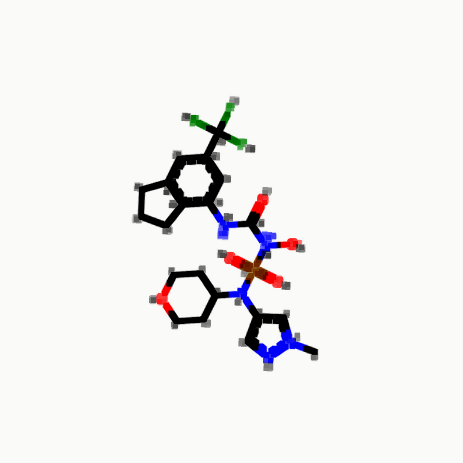 Cn1cc(N(C2CCOCC2)S(=O)(=O)[NH+]([O-])C(=O)Nc2cc(C(F)(F)F)cc3c2CCC3)cn1